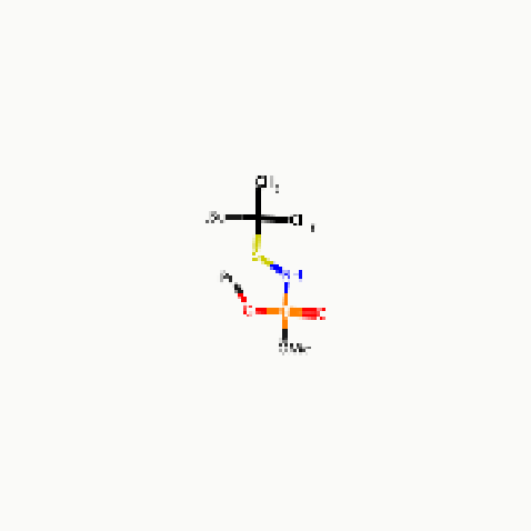 COP(=O)(NSC(C)(C)C(C)(C)C)OC(C)C